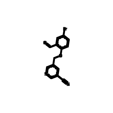 N#Cc1cncc(COc2ccc(Br)cc2C=O)c1